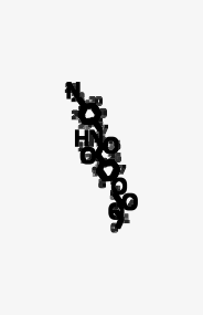 CCOC(=O)COc1ccc(C(OC)C(=O)NCc2ccc(C#N)cc2)cc1